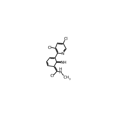 CN/C(Cl)=C1/C=CC=C(c2ncc(Cl)cc2Cl)C1=N